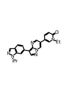 CCn1cc(-c2cnc3c(-c4ccc5cnn(C(C)C)c5c4)cnn3c2)ccc1=O